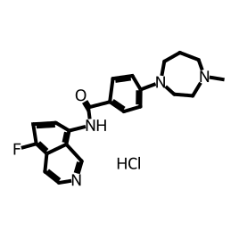 CN1CCCN(c2ccc(C(=O)Nc3ccc(F)c4ccncc34)cc2)CC1.Cl